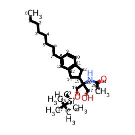 CCCCCCCCc1ccc2c(c1)CC(C(CO)(CO[Si](C)(C)C(C)(C)C)NC(C)=O)C2